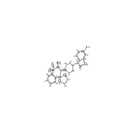 CCN1C(N2CCC(c3noc4cc(F)ccc34)CC2)C2(OCCO2)c2ccccc2S1(=O)=O